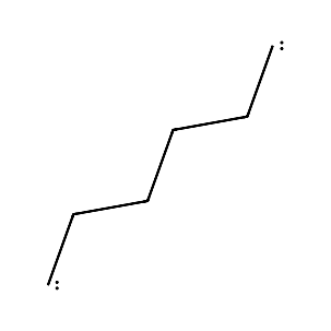 [CH]CCCC[CH]